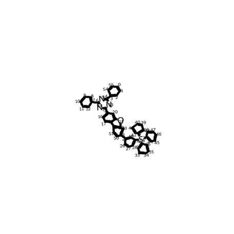 c1ccc(-c2nc(-c3ccccc3)nc(-c3ccc4c(c3)oc3cc(-c5cccc([Si](c6ccccc6)(c6ccccc6)c6ccccc6)c5)ccc34)n2)cc1